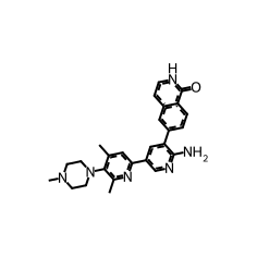 Cc1cc(-c2cnc(N)c(-c3ccc4c(=O)[nH]ccc4c3)c2)nc(C)c1N1CCN(C)CC1